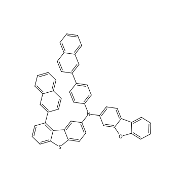 c1ccc2cc(-c3ccc(N(c4ccc5c(c4)oc4ccccc45)c4ccc5sc6cccc(-c7ccc8ccccc8c7)c6c5c4)cc3)ccc2c1